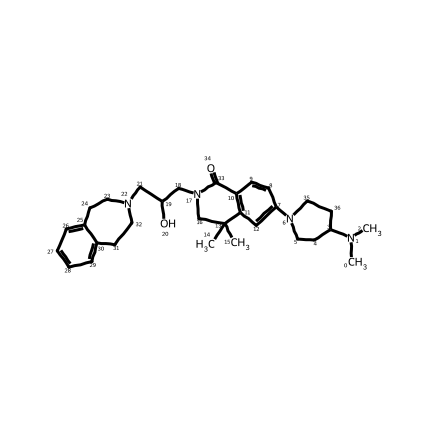 CN(C)C1CCN(c2ccc3c(c2)C(C)(C)CN(CC(O)CN2CCc4ccccc4CC2)C3=O)CC1